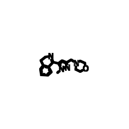 Cn1nc(CN2CCOCC2)cc1C1=NCCc2ccccc21